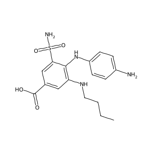 CCCCNc1cc(C(=O)O)cc(S(N)(=O)=O)c1Nc1ccc(N)cc1